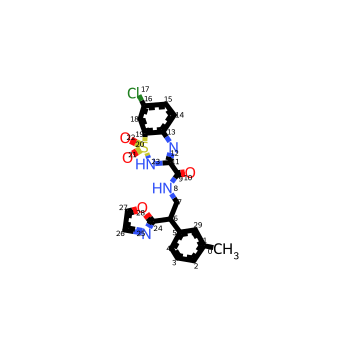 Cc1cccc(C(CNC(=O)C2=Nc3ccc(Cl)cc3S(=O)(=O)N2)c2ncco2)c1